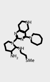 CSCCNC1C(N)CCCN1c1nc2c(c(N3CCCCCC3)n1)CNCC2